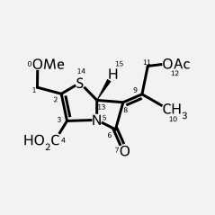 COCC1=C(C(=O)O)N2C(=O)/C(=C(\C)COC(C)=O)[C@H]2S1